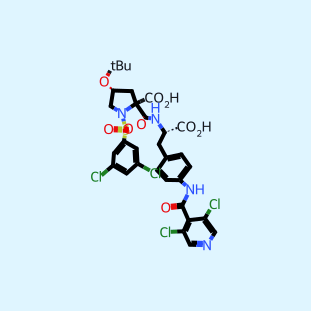 CC(C)(C)O[C@H]1CN(S(=O)(=O)c2cc(Cl)cc(Cl)c2)C(C(=O)O)(C(=O)N[C@@H](Cc2ccc(NC(=O)c3c(Cl)cncc3Cl)cc2)C(=O)O)C1